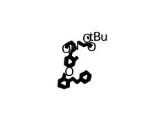 Cc1cc(OCc2ccccc2CCc2ccccc2)ccc1C1CN(CCC(=O)OC(C)(C)C)CCO1